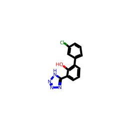 Oc1c(-c2cccc(Cl)c2)cccc1-c1nnn[nH]1